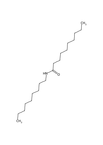 CCCCCCCCCNC(=O)CCCCCCCCC